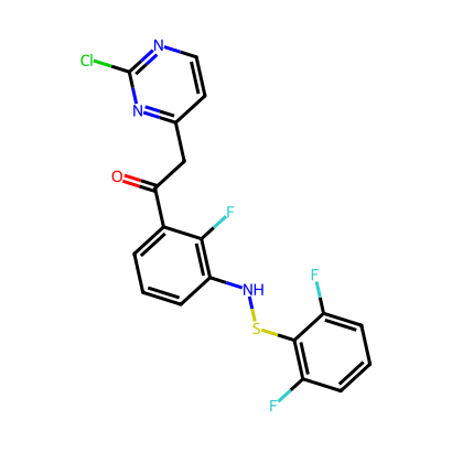 O=C(Cc1ccnc(Cl)n1)c1cccc(NSc2c(F)cccc2F)c1F